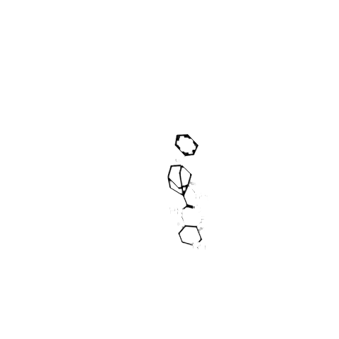 CCC[C@]12CC3CC1(C(=O)N[C@@H]1CCNC[C@H]1F)C[C@@](c1ccccc1)(C3)C2